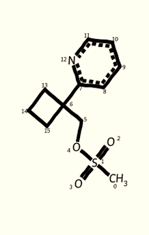 CS(=O)(=O)OCC1(c2ccccn2)CCC1